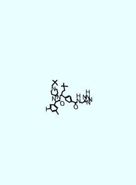 Cc1cc(I)cc(C2=NC3(CCN(CC(C)(C)C)CC3)N(C(CCC(C)(C)C)C3=CC=C(C(=O)NCc4nn[nH]n4)CC3)C2=O)c1